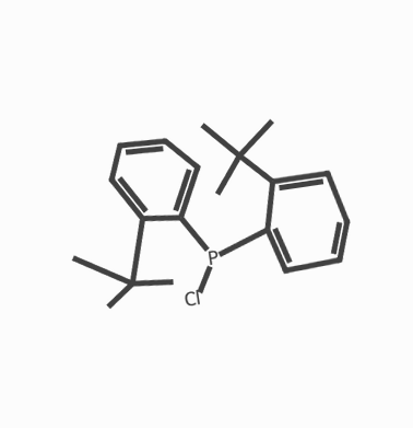 CC(C)(C)c1ccccc1P(Cl)c1ccccc1C(C)(C)C